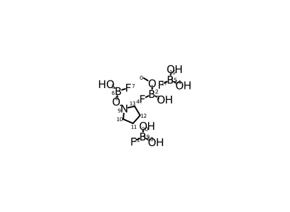 COB(O)F.OB(F)ON1CCCC1.OB(O)F.OB(O)F